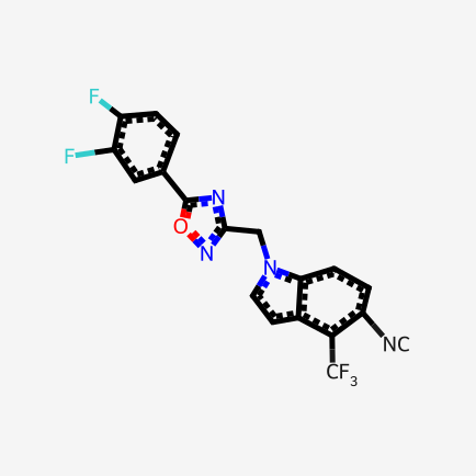 [C-]#[N+]c1ccc2c(ccn2Cc2noc(-c3ccc(F)c(F)c3)n2)c1C(F)(F)F